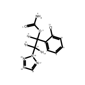 [2H]C(OC(N)=O)(c1ccccc1Cl)C([2H])([2H])n1ncnn1